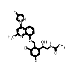 CC(=O)NC[C@H](O)c1cc(F)cc(Cl)c1COc1cccc2c(-n3cc(F)cn3)cc(C)nc12